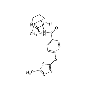 Cc1nnc(Sc2ccc(C(=O)N[C@@H]3C4CCN(CC4)[C@H]3C)cc2)s1